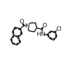 O=C(Nc1cccc(Cl)c1)C1CCN(C(=O)c2ccc3ccccc3c2)CC1